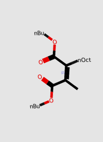 CCCCCCCC/C(C(=O)OCCCC)=C(\C)C(=O)OCCCC